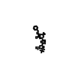 CC(C)(C)[Si](C)(C)O[C@@H](CN)c1nnc([C@@H]2CC3(CC3)C3CN2C(=O)N3OCc2ccccc2)o1